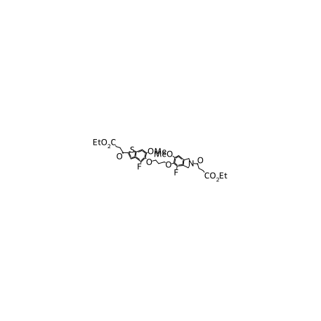 CCOC(=O)CCC(=O)c1cc2c(F)c(OCCCOc3c(OC)cc4c(c3F)CN(C(=O)CCC(=O)OCC)C4)c(OC)cc2s1